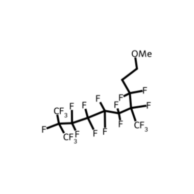 COCCC(F)(F)C(F)(C(F)(F)F)C(F)(F)C(F)(F)C(F)(F)C(F)(F)C(F)(C(F)(F)F)C(F)(F)F